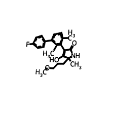 COCCCC1(C)NC(=O)C(c2c(C)ccc(-c3ccc(F)cc3)c2C)=C1O